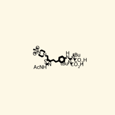 CC(=O)Nc1nc(CCc2ccc(NC(N(C(=O)O)C(C)(C)C)N(C(=O)O)C(C)(C)C)cc2)c(CN2CCN(S(C)(=O)=O)CC2)s1